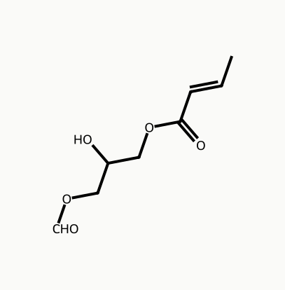 CC=CC(=O)OCC(O)COC=O